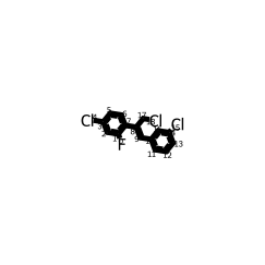 Fc1cc(Cl)ccc1C(=Cc1cccc(Cl)c1)CCl